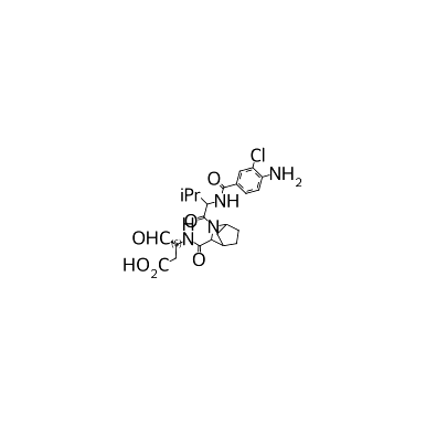 CC(C)C(NC(=O)c1ccc(N)c(Cl)c1)C(=O)N1C2CCC(C2)C1C(=O)N[C@H](C=O)CC(=O)O